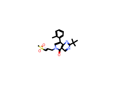 Cc1ccccc1-c1cn(C/C=C/S(C)(=O)=O)c(=O)c2cnc(C(C)(C)C)nc12